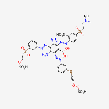 CN(CCS(=O)(=O)c1ccc(N=Nc2c(N)c(N=Nc3cccc(S(=O)(=O)CCOS(=O)(=O)O)c3)c(N)c(N=Nc3cccc(SC#COOS(=O)(=O)O)c3)c2C(O)O)c(S(=O)(=O)O)c1)N=O